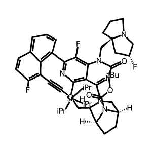 CC(C)[Si](C#Cc1c(F)ccc2cccc(-c3nc4c5c(nc(=O)n(C[C@@]67CCCN6C[C@H](F)C7)c5c3F)N3C[C@H]5CC[C@@H]([C@H]3CO4)N5C(=O)OC(C)(C)C)c12)(C(C)C)C(C)C